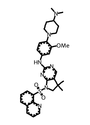 COc1cc(Nc2ncc3c(n2)N(S(=O)(=O)c2cccc4cccnc24)CC3(C)C)ccc1N1CCC(N(C)C)CC1